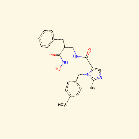 CCCCc1ncc(C(=O)NCC(Cc2ccccc2)C(=O)NO)n1Cc1ccc(C(=O)O)cc1